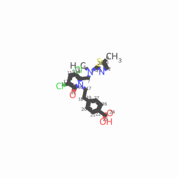 Cc1cnc(N(C)Cc2c(Cl)cc(Cl)c(=O)n2CCc2ccc(C(=O)O)cc2)s1